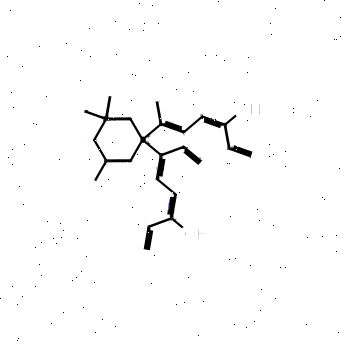 C=C/C(O)=C\C=C(/C)C1(/C(C=C)=C/C=C(/O)C=C)CC(C)CC(C)(C)C1